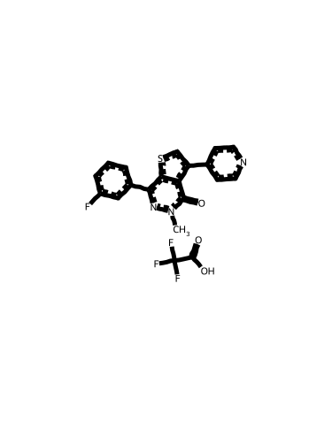 Cn1nc(-c2cccc(F)c2)c2scc(-c3ccncc3)c2c1=O.O=C(O)C(F)(F)F